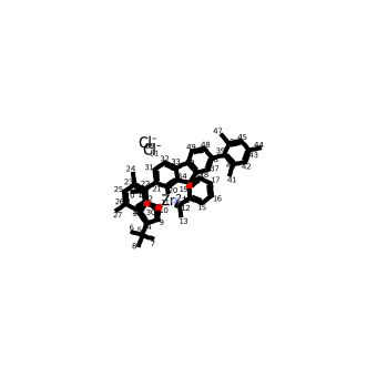 CCC1C=C(C(C)(C)C)C=[C]1/[Zr+2](=[C](\C)c1ccccc1)[c]1c(-c2c(C)cc(C)cc2C)ccc2c1Cc1cc(-c3c(C)cc(C)cc3C)ccc1-2.[Cl-].[Cl-]